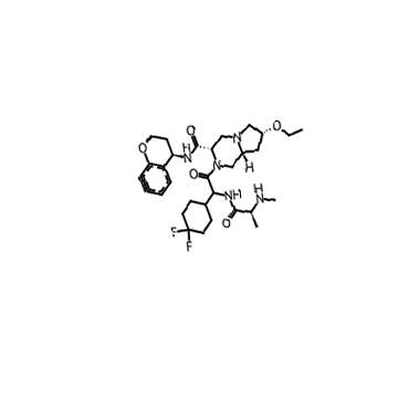 CCO[C@@H]1C[C@@H]2CN(C(=O)C(NC(=O)[C@H](C)NC)C3CCC(F)(F)CC3)[C@H](C(=O)N[C@@H]3CCOc4c#cccc43)CN2C1